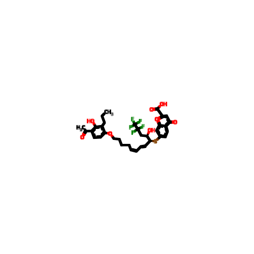 CCCc1c(OCCCC/C=C\C=C\[C@H](Sc2ccc3c(=O)cc(C(=O)O)oc3c2)[C@H](O)CC(F)(F)C(F)(F)F)ccc(C(C)=O)c1O